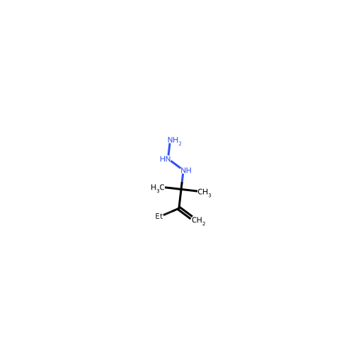 C=C(CC)C(C)(C)NNN